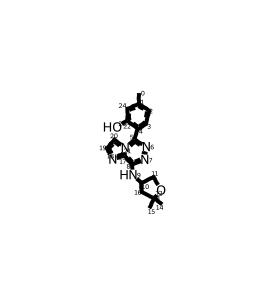 Cc1ccc(-c2nnc(NC3COC(C)(C)C3)c3nccn23)c(O)c1